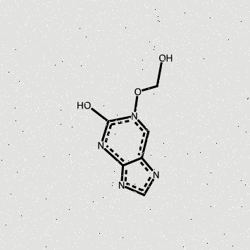 OCOn1cc2ncnc-2nc1O